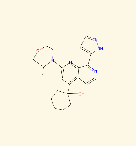 CC1COCCN1c1cc(C2(O)CCCCC2)c2ccnc(-c3ccn[nH]3)c2n1